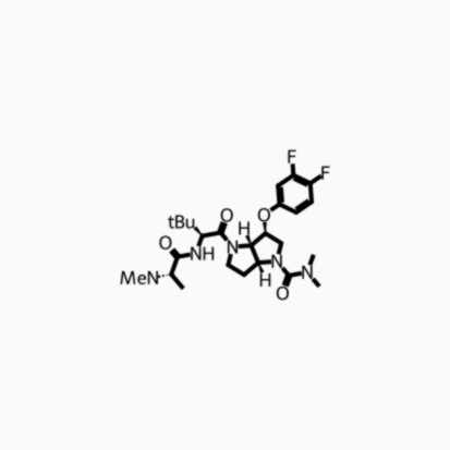 CN[C@@H](C)C(=O)N[C@H](C(=O)N1CC[C@@H]2[C@H]1[C@@H](Oc1ccc(F)c(F)c1)CN2C(=O)N(C)C)C(C)(C)C